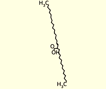 CCCCCCCCCCCCCCCCC=CC(CCCCCCCCCCCCCC)C(=O)O